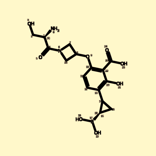 N[C@H](CO)C(=O)N1CC(Oc2ccc(C3C[C@H]3B(O)O)c(O)c2C(=O)O)C1